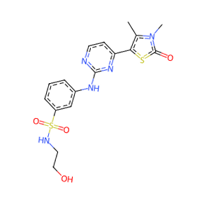 Cc1c(-c2ccnc(Nc3cccc(S(=O)(=O)NCCO)c3)n2)sc(=O)n1C